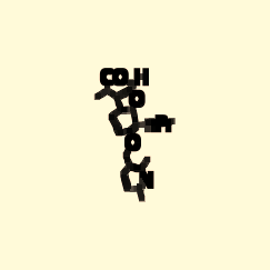 CCCc1c(OCc2ccc(C)nc2C)ccc2c(C(C)C(=O)O)coc12